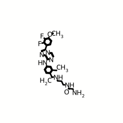 C=C(NCCCNC(=O)CN)c1ccc(Nc2nccn3c(-c4ccc(OC)c(F)c4F)cnc23)cc1CC